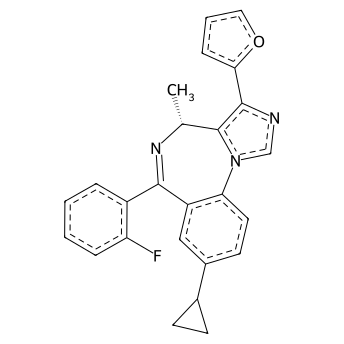 C[C@H]1N=C(c2ccccc2F)c2cc(C3CC3)ccc2-n2cnc(-c3ccco3)c21